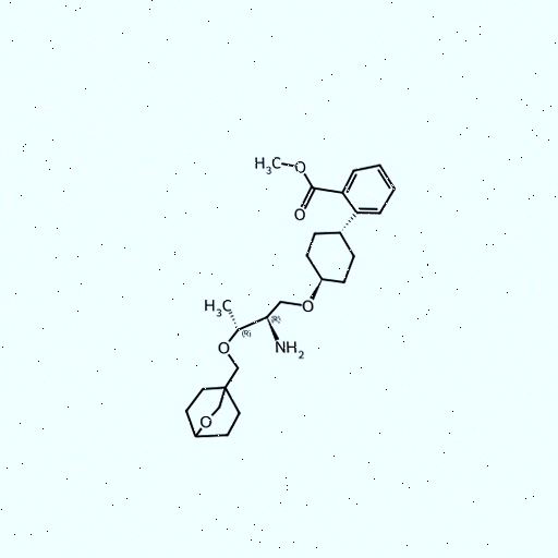 COC(=O)c1ccccc1[C@H]1CC[C@H](OC[C@@H](N)[C@@H](C)OCC23CCC(CC2)OC3)CC1